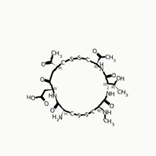 CN[C@H]1CSSC[C@H](N)C(=O)N[C@@H](CC(=O)O)C(=O)C[C@H](C(C)=O)CSSC[C@@H](C(C)=O)NC(=O)[C@H]([C@@H](C)O)NC1=O